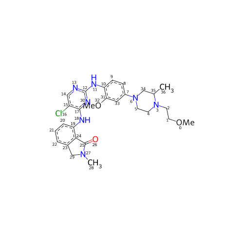 COCCN1CCN(c2ccc(Nc3ncc(Cl)c(Nc4cccc5c4C(=O)N(C)C5)n3)c(OC)c2)CC1C